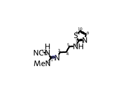 CN/C(=N/CCCNc1nccs1)NC#N